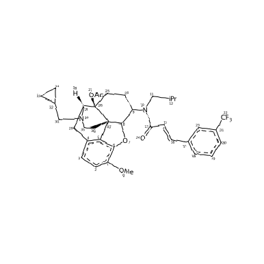 COc1ccc2c3c1OC1C(N(CC(C)C)C(=O)/C=C/c4cccc(C(F)(F)F)c4)CC[C@@]4(OC(C)=O)[C@@H](C2)N(CC2CC2)CC[C@]314